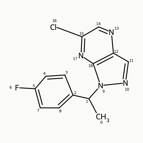 CC(c1ccc(F)cc1)n1ncc2ncc(Cl)nc21